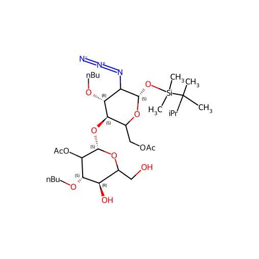 CCCCO[C@@H]1C(OC(C)=O)[C@H](O[C@@H]2C(COC(C)=O)O[C@@H](O[Si](C)(C)C(C)(C)C(C)C)C(N=[N+]=[N-])[C@H]2OCCCC)OC(CO)[C@H]1O